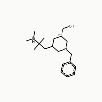 C[SiH](C)C(C)(C)CC1C[C@H](CO)CN(Cc2ccccc2)C1